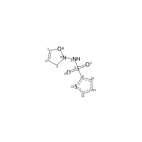 O=S(=O)(NN1CC=CO1)c1cccs1